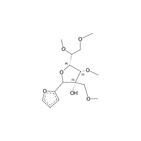 COCC(OC)[C@H]1OC(c2ccco2)[C@](O)(COC)[C@H]1OC